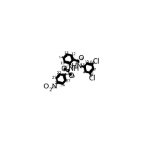 O=C(Nc1cc(Cl)cc(Cl)c1)c1ccccc1NS(=O)(=O)c1ccc([N+](=O)[O-])cc1